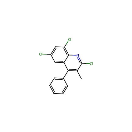 [CH2]c1c(Cl)nc2c(Cl)cc(Cl)cc2c1-c1ccccc1